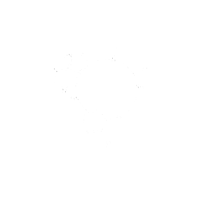 COc1ccc2cc1OCCNC(=O)CN(C)Cc1c[nH]c3ncnc(c13)N2